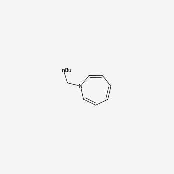 CCCCCN1C=CC=CC=C1